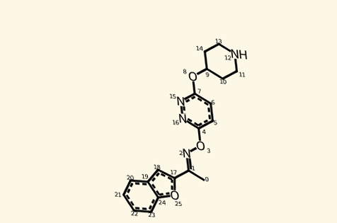 CC(=NOc1ccc(OC2CCNCC2)nn1)c1cc2ccccc2o1